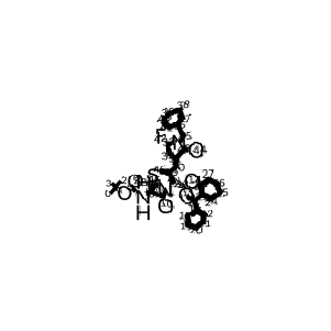 CC(C)(C)OC(=O)N[C@@H]1C(=O)N2[C@@H](C(=O)OC(c3ccccc3)c3ccccc3)C(C=C3CCN(Cc4ccccc4F)C3=O)=CS[C@H]12